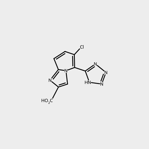 O=C(O)c1cn2c(-c3nnn[nH]3)c(Cl)ccc2n1